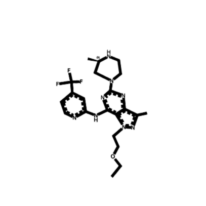 CCOCCn1nc(C)c2nc(N3CCN[C@H](C)C3)nc(Nc3cc(C(F)(F)F)ccn3)c21